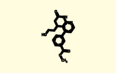 COC(=O)c1cccc(-c2ccnc3c2C(CCO)CC(=O)N3)c1